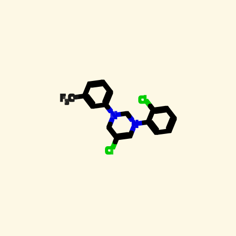 FC(F)(F)c1cccc(N2CC(Cl)=CN(c3ccccc3Cl)C2)c1